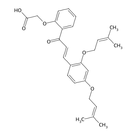 CC(C)=CCOc1ccc(/C=C/C(=O)c2ccccc2OCC(=O)O)c(OCC=C(C)C)c1